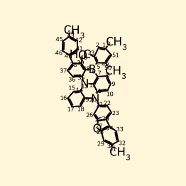 Cc1cc(C)c(B2c3cccc4c3N(c3ccccc3N4c3ccc4c(c3)oc3cc(C)ccc34)c3ccc4c(oc5cc(C)ccc54)c32)c(C)c1